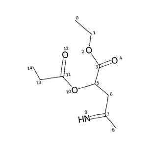 CCOC(=O)C(CC(C)=N)OC(=O)CC